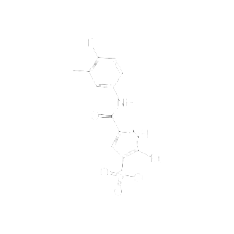 CCc1[nH]c(C(=O)Nc2ccc(F)c(C)c2)cc1S(=O)(=O)Cl